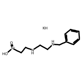 O=[N+](O)CCNCCNCc1ccccc1.[KH]